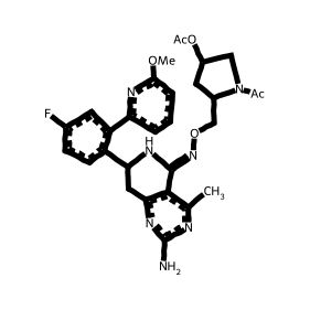 COc1cccc(-c2cc(F)ccc2C2Cc3nc(N)nc(C)c3C(=NOCC3CC(OC(C)=O)CN3C(C)=O)N2)n1